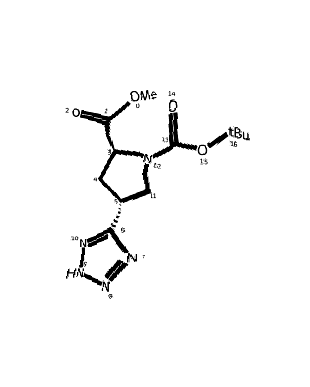 COC(=O)[C@@H]1C[C@@H](c2nn[nH]n2)CN1C(=O)OC(C)(C)C